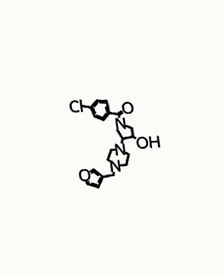 O=C(c1ccc(Cl)cc1)N1CC(O)C(N2CCN(Cc3ccoc3)CC2)C1